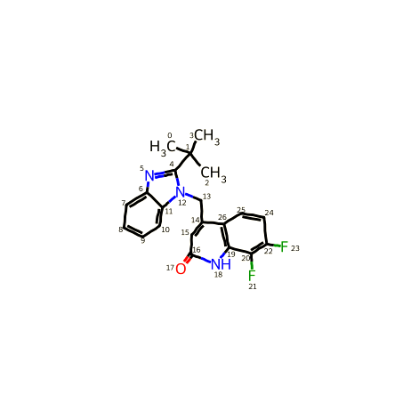 CC(C)(C)c1nc2ccccc2n1Cc1cc(=O)[nH]c2c(F)c(F)ccc12